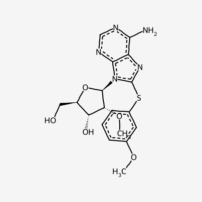 COc1cccc(Sc2nc3c(N)ncnc3n2[C@@H]2O[C@H](CO)[C@@H](O)[C@H]2OC)c1